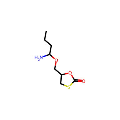 CCCC(N)OCC1CSC(=O)O1